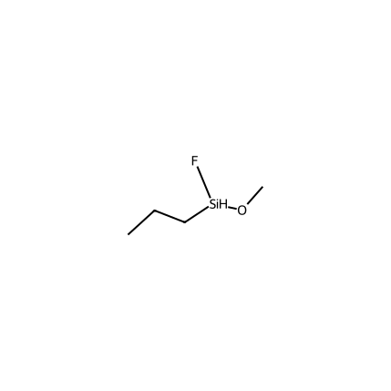 CCC[SiH](F)OC